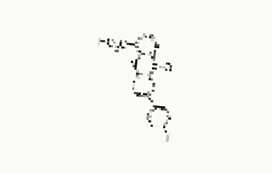 O=C(O)c1cccn2c(=O)c3cc(-c4ccc(F)cc4)ccc3nc12